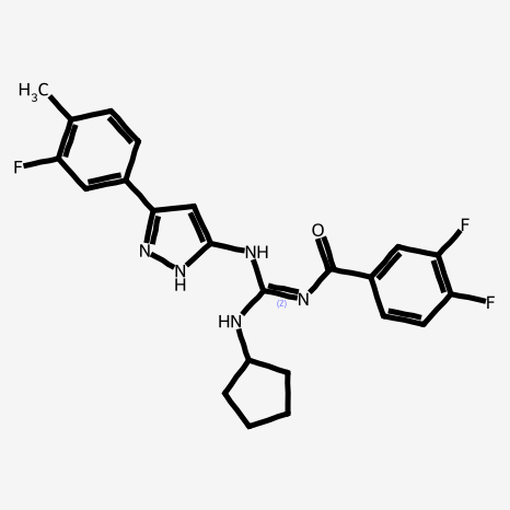 Cc1ccc(-c2cc(N/C(=N\C(=O)c3ccc(F)c(F)c3)NC3CCCC3)[nH]n2)cc1F